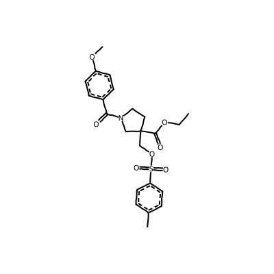 CCOC(=O)C1(COS(=O)(=O)c2ccc(C)cc2)CCN(C(=O)c2ccc(OC)cc2)C1